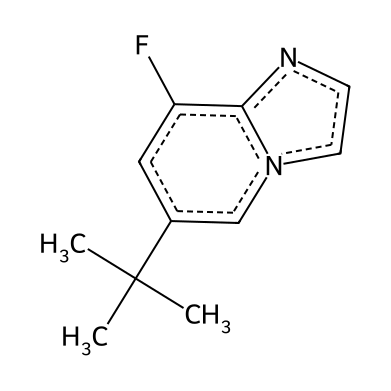 CC(C)(C)c1cc(F)c2nccn2c1